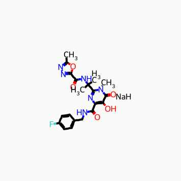 Cc1nnc(C(=O)NC(C)(C)c2nc(C(=O)NCc3ccc(F)cc3)c(O)c(=O)n2C)o1.[NaH]